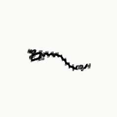 O=C(O)CCCCCCCCCCSCCCN1CCOC(O)C1